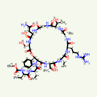 CC[C@H](C)[C@@H]1NC(=O)[C@@H](CCCNC(=N)N)NC(=O)[C@H](CC(C)C)NC(=O)[C@H]([C@H](O)C(C)C)NC(=O)[C@@H](NC(=O)[C@H](CC(C)C)NC(=O)[C@@H](CC(C)C)NC(=O)OC(C)(C)C)[C@@H](c2ccccc2)OC(=O)[C@H](CO)NC(=O)[C@H]([C@H](O)C(N)=O)NC(=O)CNC(=O)[C@H]([C@H](C)O)NC1=O